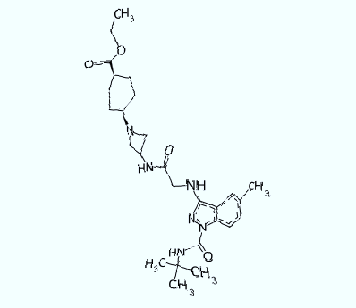 CCOC(=O)[C@H]1CC[C@@H](N2CC(NC(=O)CNc3nn(C(=O)NC(C)(C)C)c4ccc(C)cc34)C2)CC1